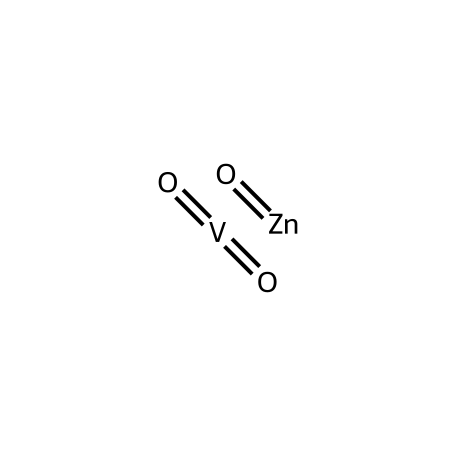 [O]=[V]=[O].[O]=[Zn]